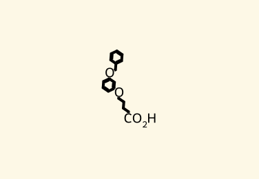 O=C(O)CCCCOc1cccc(OCc2ccccc2)c1